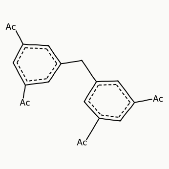 CC(=O)c1cc(Cc2cc(C(C)=O)cc(C(C)=O)c2)cc(C(C)=O)c1